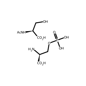 CC(=O)N[C@@H](CO)C(=O)O.N[C@@H](COP(=O)(O)O)C(=O)O